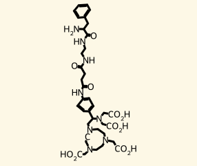 NC(Cc1ccccc1)C(=O)NCCNC(=O)CCC(=O)Nc1ccc(C(CN2CCN(CC(=O)O)CCN(CC(=O)O)CC2)N(CC(=O)O)CC(=O)O)cc1